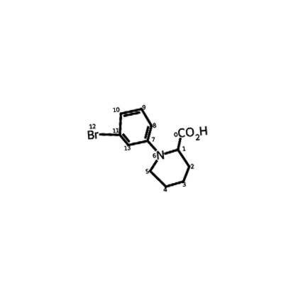 O=C(O)C1CCCCN1c1cccc(Br)c1